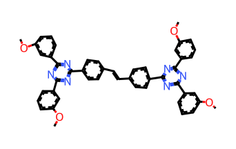 COc1cccc(-c2nc(-c3ccc(C=Cc4ccc(-c5nc(-c6cccc(OC)c6)nc(-c6cccc(OC)c6)n5)cc4)cc3)nc(-c3cccc(OC)c3)n2)c1